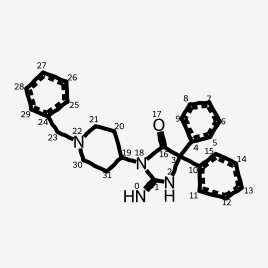 N=C1NC(c2ccccc2)(c2ccccc2)C(=O)N1C1CCN(Cc2ccccc2)CC1